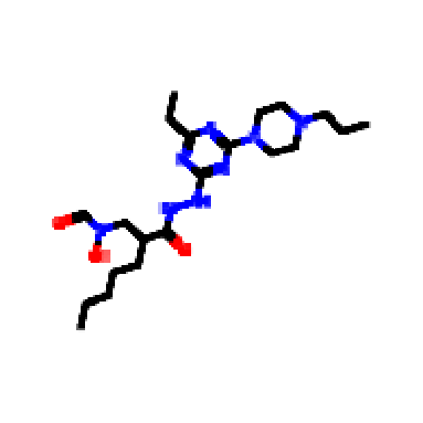 CCCCCC(CN(O)C=O)C(=O)NNc1nc(CC)nc(N2CCN(CCC)CC2)n1